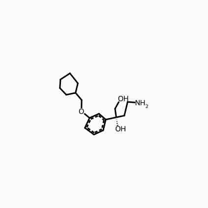 NCC[C@](O)(CO)c1cccc(OCC2CCCCC2)c1